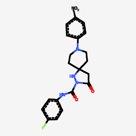 O=C1CC2(CCN(c3ccc([N+](=O)[O-])cc3)CC2)NN1C(=O)Nc1ccc(F)cc1